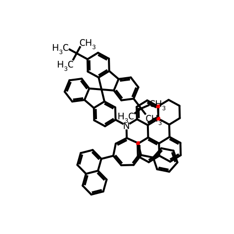 CC(C)(C)c1ccc2c(c1)C1(c3ccccc3-c3ccc(N(C4=CC(c5cccc6ccccc56)=CC=C(c5ccccc5)C4)c4ccccc4-c4cccc5cccc(C6CCCCC6)c45)cc31)c1cc(C(C)(C)C)ccc1-2